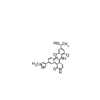 CC(O)c1cc(Cl)c(Nc2nc3ccc(-c4cnn(C)c4)cc3c3c(=O)[nH]ccc23)c(Cl)c1